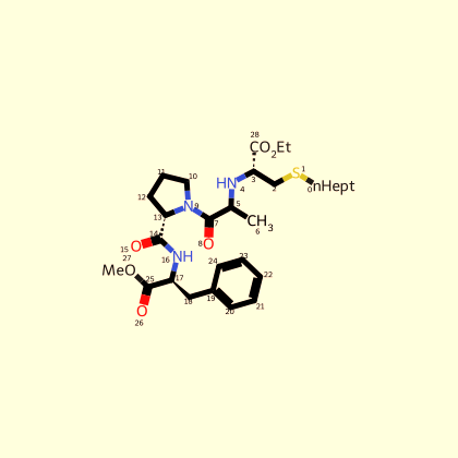 CCCCCCCSC[C@H](NC(C)C(=O)N1CCC[C@H]1C(=O)N[C@@H](Cc1ccccc1)C(=O)OC)C(=O)OCC